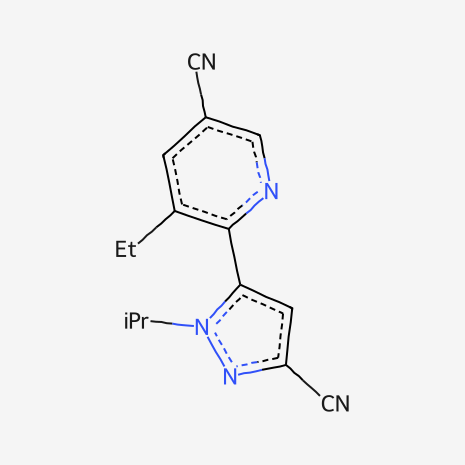 CCc1cc(C#N)cnc1-c1cc(C#N)nn1C(C)C